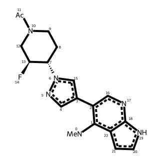 CNc1c(-c2cnn([C@H]3CCN(C(C)=O)C[C@@H]3F)c2)cnc2[nH]ccc12